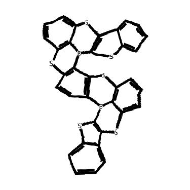 c1cc2c3c(c1)Sc1c(sc4ccccc14)B3c1ccc3c(c1S2)B1c2sc4ccccc4c2Sc2cccc(c21)S3